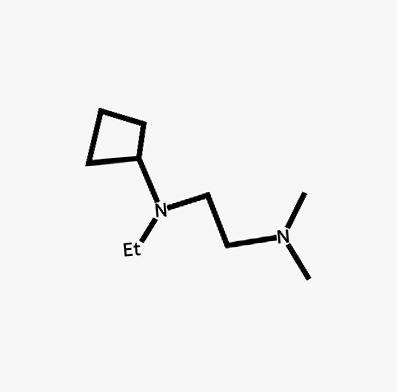 CCN(CCN(C)C)C1CCC1